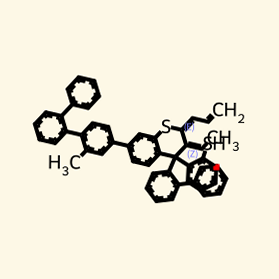 C=C/C=C1/Sc2cc(-c3ccc(-c4ccccc4-c4ccccc4)c(C)c3)ccc2C(c2ccccc2S)(c2ccccc2-c2ccccc2)/C1=C/C